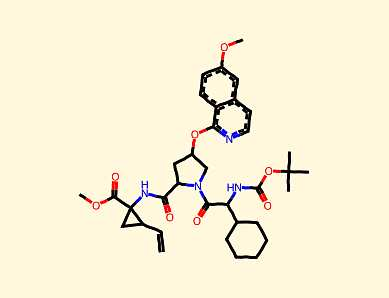 C=CC1CC1(NC(=O)C1CC(Oc2nccc3cc(OC)ccc23)CN1C(=O)C(NC(=O)OC(C)(C)C)C1CCCCC1)C(=O)OC